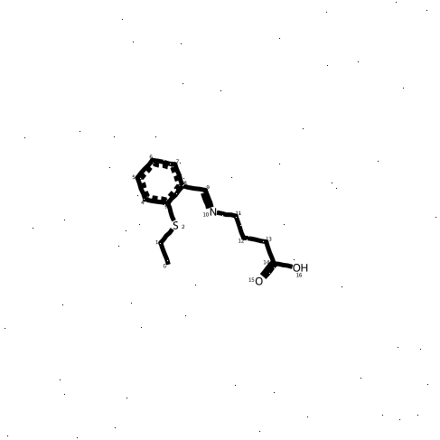 CCSc1ccccc1C=NCCCC(=O)O